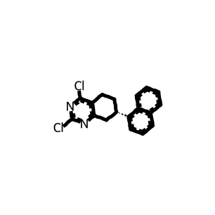 Clc1nc(Cl)c2c(n1)C[C@@H](c1cccc3ccccc13)CC2